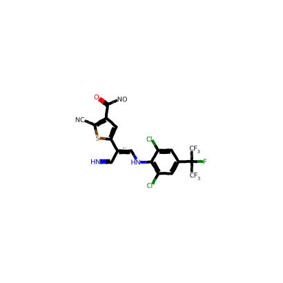 N#Cc1sc(/C(C=N)=C/Nc2c(Cl)cc(C(F)(C(F)(F)F)C(F)(F)F)cc2Cl)cc1C(=O)N=O